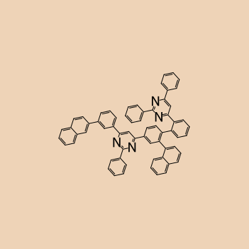 c1ccc(-c2cc(-c3ccccc3-c3ccc(-c4cc(-c5cccc(-c6ccc7ccccc7c6)c5)nc(-c5ccccc5)n4)cc3-c3cccc4ccccc34)nc(-c3ccccc3)n2)cc1